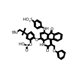 CC(C)(C)CC(C)(C)c1ccc(Oc2cc(Nc3ccc(S(=O)(=O)O)cc3)c3c4c(c(COc5ccccc5)c(=O)[nH]c24)-c2ccccc2C3=O)c(OS(=O)O)c1